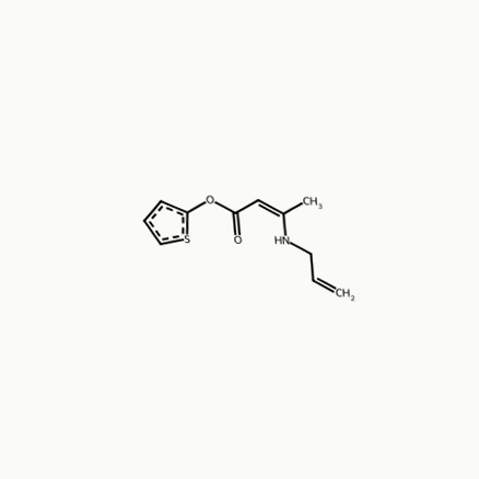 C=CCNC(C)=CC(=O)Oc1cccs1